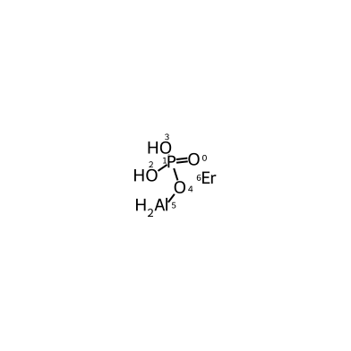 O=P(O)(O)[O][AlH2].[Er]